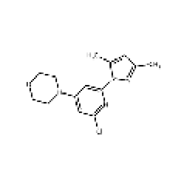 Cc1cc(C)n(-c2cc(N3CCOCC3)cc(Cl)n2)n1